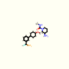 CCNC(=O)N1CCCC(N)[C@@H]1COC1CCC(c2cccc(C(F)P)c2)CC1